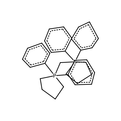 c1ccc(P2(CP3(c4ccccc4)(c4ccccc4)CCCC3)(c3ccccc3)CCCC2)cc1